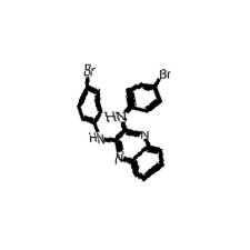 Brc1ccc(Nc2nc3ccccc3nc2Nc2ccc(Br)cc2)cc1